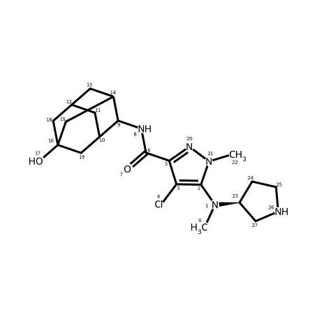 CN(c1c(Cl)c(C(=O)NC2C3CC4CC2CC(O)(C4)C3)nn1C)[C@H]1CCNC1